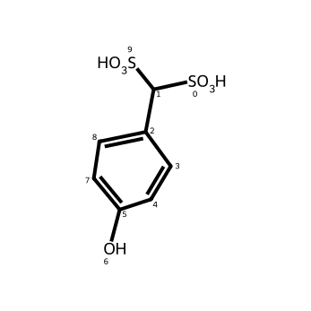 O=S(=O)(O)C(c1ccc(O)cc1)S(=O)(=O)O